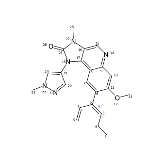 C=C/C(=C\CC)c1cc2c(cc1OC)ncc1c2n(-c2cnn(C)c2)c(=O)n1C